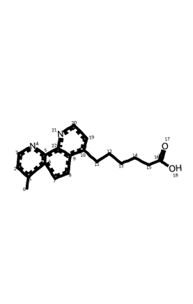 Cc1ccnc2c1ccc1c(CCCCCC(=O)O)ccnc12